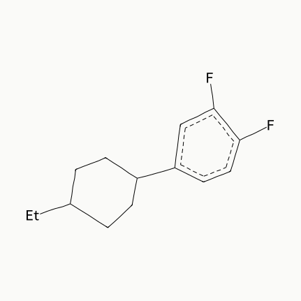 CCC1CCC(c2ccc(F)c(F)c2)CC1